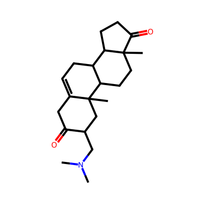 CN(C)CC1CC2(C)C(=CCC3C4CCC(=O)C4(C)CCC32)CC1=O